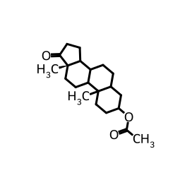 CC(=O)OC1CCC2(C)C(CCC3C2CC[C@]2(C)C(=O)CCC32)C1